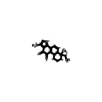 Cc1coc2c1C(=O)C(=O)C1=C2C=CC2C1CCCC2(C)CO